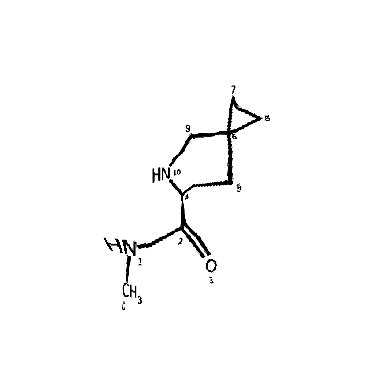 CNC(=O)[C@@H]1CC2(CC2)CN1